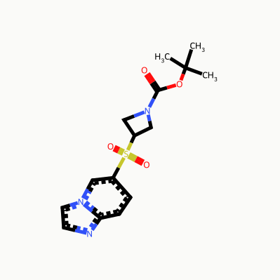 CC(C)(C)OC(=O)N1CC(S(=O)(=O)c2ccc3nccn3c2)C1